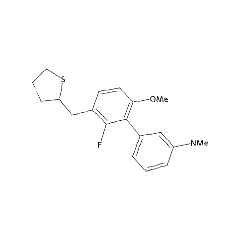 CNc1cccc(-c2c(OC)ccc(CC3CCCS3)c2F)c1